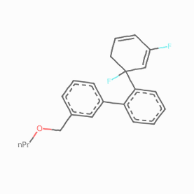 CCCOCc1cccc(-c2ccccc2C2(F)C=C(F)C=CC2)c1